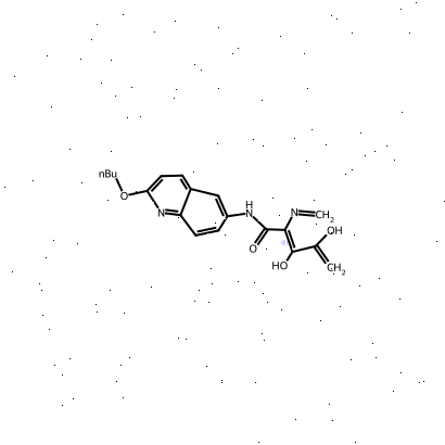 C=N/C(C(=O)Nc1ccc2nc(OCCCC)ccc2c1)=C(/O)C(=C)O